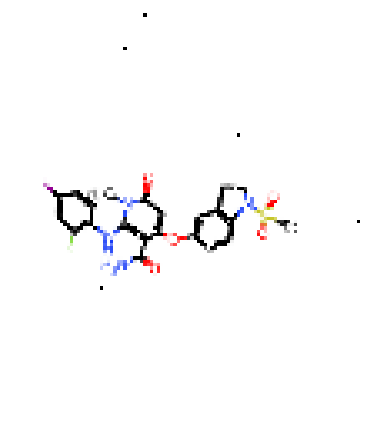 CCS(=O)(=O)N1CCc2cc(Oc3cc(=O)n(C)c(Nc4ccc(I)cc4F)c3C(N)=O)ccc21